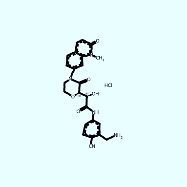 Cl.Cn1c(=O)ccc2ccc(N3CCO[C@H]([C@@H](O)C(=O)Nc4ccc(C#N)c(CN)c4)C3=O)cc21